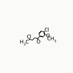 COc1cc(C(=O)CCC(C)Cl)ccc1Cl